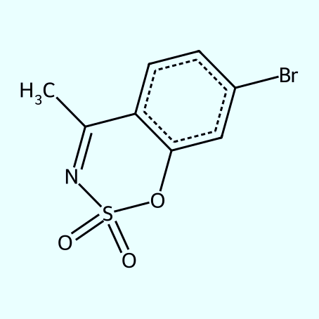 CC1=NS(=O)(=O)Oc2cc(Br)ccc21